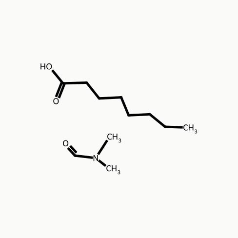 CCCCCCCC(=O)O.CN(C)C=O